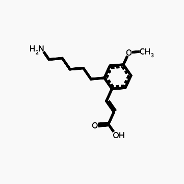 COc1ccc(C=CC(=O)O)c(CCCCCN)c1